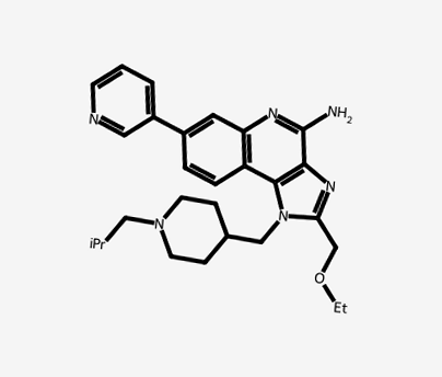 CCOCc1nc2c(N)nc3cc(-c4cccnc4)ccc3c2n1CC1CCN(CC(C)C)CC1